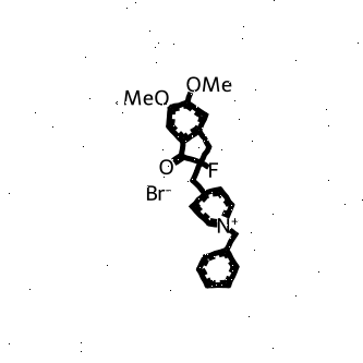 COc1cc2c(cc1OC)C(=O)C(F)(Cc1cc[n+](Cc3ccccc3)cc1)C2.[Br-]